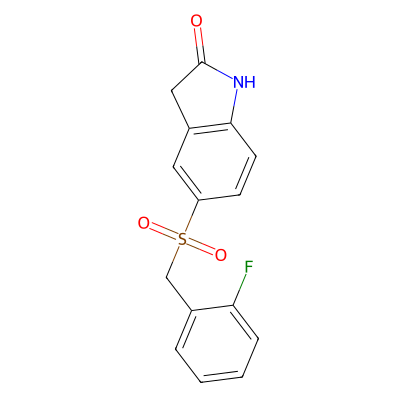 O=C1Cc2cc(S(=O)(=O)Cc3ccccc3F)ccc2N1